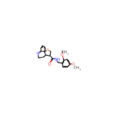 COc1ccc(CNC(=O)C2CSC34C=CC=CC3=NCCC24)c(OC)c1